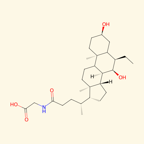 CC[C@@H]1C2C[C@H](O)CC[C@]2(C)C2CC[C@]3(C)[C@@H]([C@H](C)CCC(=O)NCC(=O)O)CC[C@H]3[C@@H]2[C@@H]1O